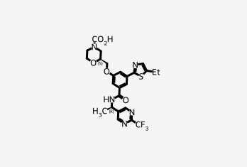 CCc1cnc(-c2cc(OC[C@@H]3CN(C(=O)O)CCO3)cc(C(=O)N[C@H](C)c3cnc(C(F)(F)F)nc3)c2)s1